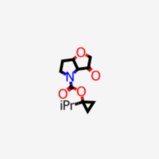 CC(C)C1(OC(=O)N2CCC3OCC(=O)C32)CC1